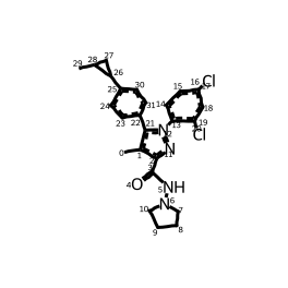 Cc1c(C(=O)NN2CCCC2)nn(-c2ccc(Cl)cc2Cl)c1-c1ccc(C2CC2C)cc1